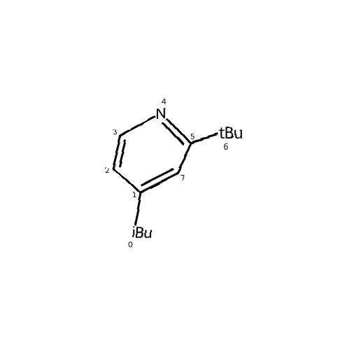 CCC(C)c1ccnc(C(C)(C)C)c1